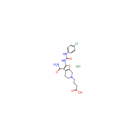 Cl.NC(=O)c1c(NC(=O)Nc2ccc(Cl)cc2)sc2c1CCN(CCCC(=O)O)C2